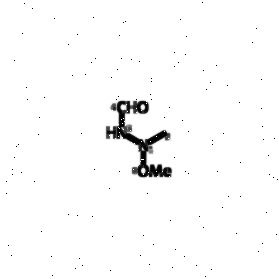 CON(C)NC=O